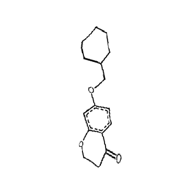 O=C1CCOc2cc(OCC3CCCCC3)ccc21